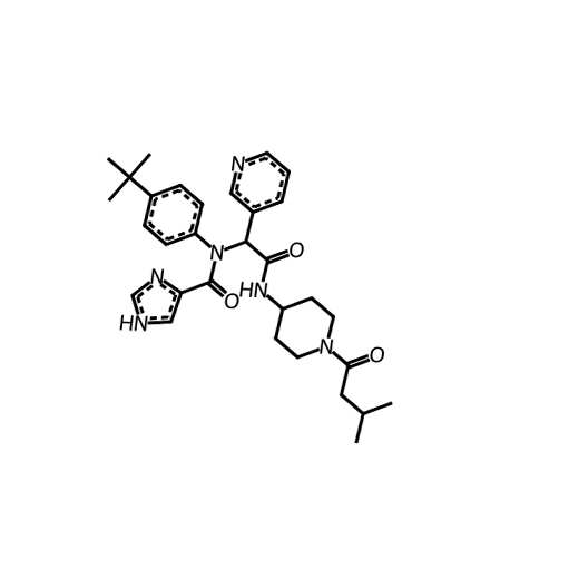 CC(C)CC(=O)N1CCC(NC(=O)C(c2cccnc2)N(C(=O)c2c[nH]cn2)c2ccc(C(C)(C)C)cc2)CC1